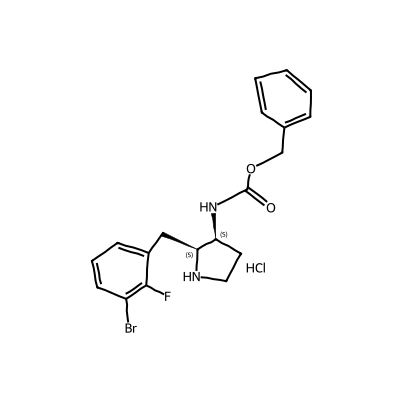 Cl.O=C(N[C@H]1CCN[C@H]1Cc1cccc(Br)c1F)OCc1ccccc1